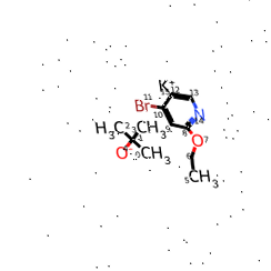 CC(C)(C)[O-].CCOc1cc(Br)ccn1.[K+]